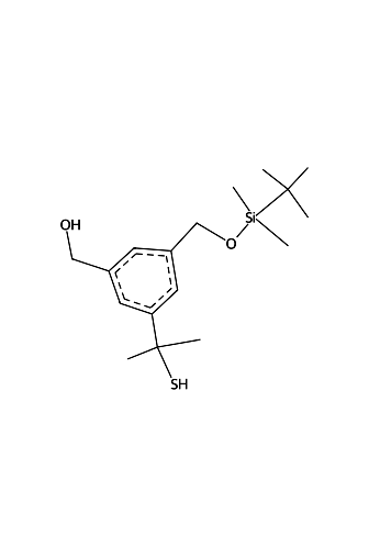 CC(C)(S)c1cc(CO)cc(CO[Si](C)(C)C(C)(C)C)c1